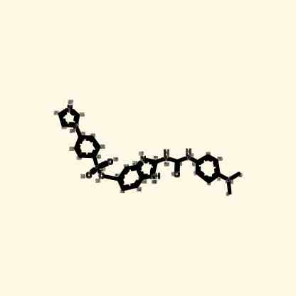 CN(C)c1ccc(NC(=O)Nc2nc3cc(OS(=O)(=O)c4ccc(-n5ccnc5)cc4)ccc3[nH]2)cc1